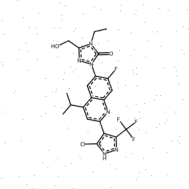 CCn1c(CO)nn(-c2cc3c(C(C)C)cc(-c4c(C(F)(F)F)n[nH]c4Cl)nc3cc2F)c1=O